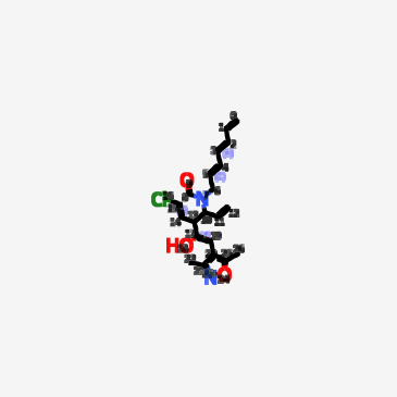 C=C/C=C/C=C/CN(C=O)C(C=C)C(/C=C/Cl)/C(O)=C/c1c(C)noc1C